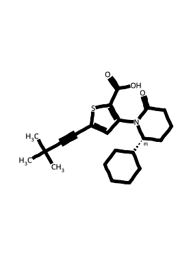 CC(C)(C)C#Cc1cc(N2C(=O)CCC[C@@H]2C2CCCCC2)c(C(=O)O)s1